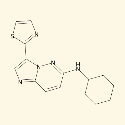 c1csc(-c2cnc3ccc(NC4CCCCC4)nn23)n1